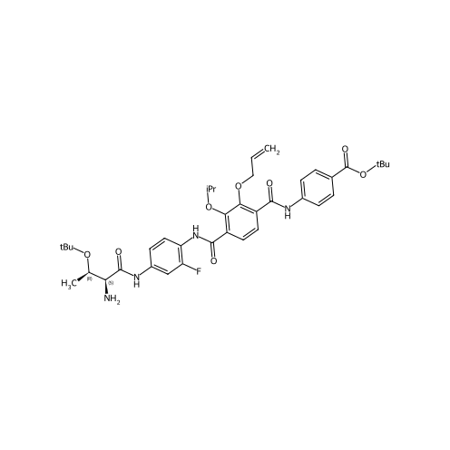 C=CCOc1c(C(=O)Nc2ccc(C(=O)OC(C)(C)C)cc2)ccc(C(=O)Nc2ccc(NC(=O)[C@@H](N)[C@@H](C)OC(C)(C)C)cc2F)c1OC(C)C